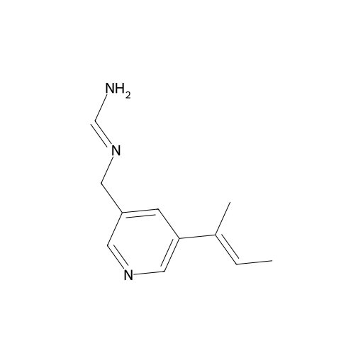 C/C=C(\C)c1cncc(C/N=C/N)c1